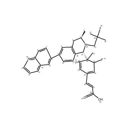 C[C@@H]1Cc2cc(-c3ccc4ncccc4c3)ccc2[C@@H](C2(C)C(F)=CC(/C=C/C(=O)O)=CC2F)N1CC(C)(C)F